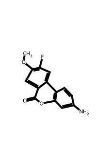 COc1cc2c(=O)oc3cc(N)ccc3c2cc1F